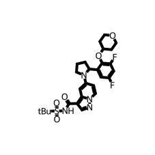 CC(C)(C)S(=O)(=O)NC(=O)c1cnn2ccc(N3CCCC3c3cc(F)cc(F)c3OC3CCOCC3)cc12